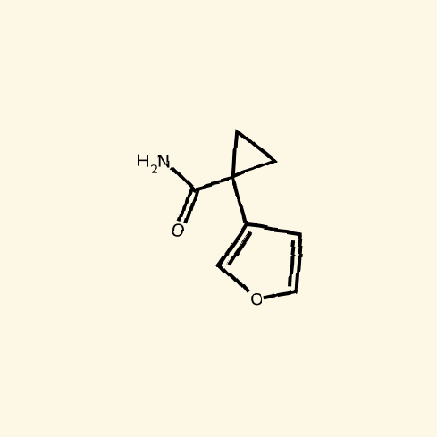 NC(=O)C1(c2ccoc2)CC1